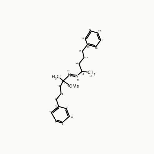 COC(C)(CCCc1ccccc1)N=NC(C)CCCc1ccccc1